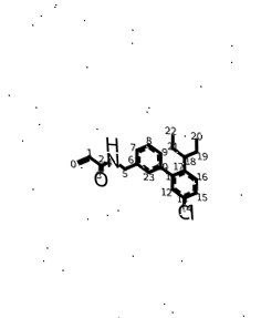 C=CC(=O)NCc1cccc(-c2cc(Cl)ccc2C(CC)CC)c1